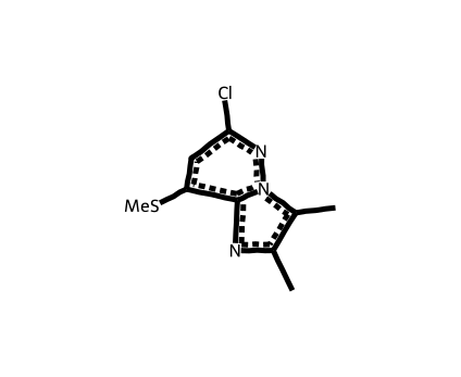 CSc1cc(Cl)nn2c(C)c(C)nc12